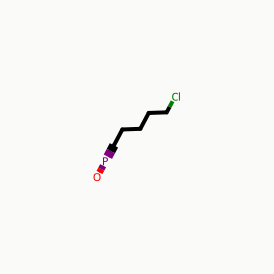 O=P#CCCCCCl